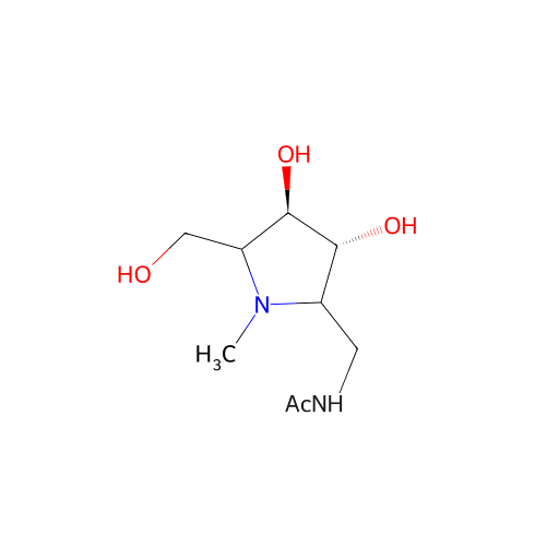 CC(=O)NCC1[C@@H](O)[C@H](O)C(CO)N1C